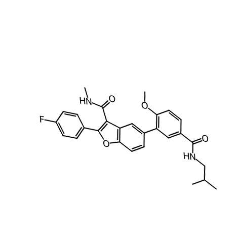 CNC(=O)c1c(-c2ccc(F)cc2)oc2ccc(-c3cc(C(=O)NCC(C)C)ccc3OC)cc12